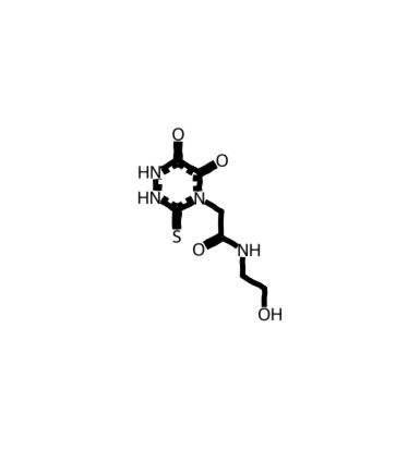 O=C(Cn1c(=S)[nH][nH]c(=O)c1=O)NCCO